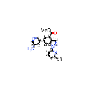 COC(=O)c1cc(-c2cncc(N)c2)cc2c1cnn2-c1cccc(C#N)n1